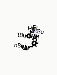 C=C(Nc1ccc(C(C)(C)C)cc1C(=C)/C=C(\NCC)C(C)(C)C)C(Cc1ccc(CCCN2CCN(CCCC)C2)c(C)c1C)=C(C)C